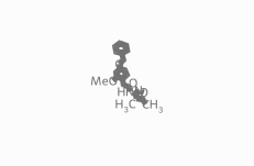 COc1cc(OCc2ccccc2)ccc1CC(=O)Nc1noc(C)c1C